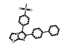 CS(=O)(=O)c1ccc(-c2c(-c3ccc(-c4ccccc4)cc3)nc3occn23)cc1